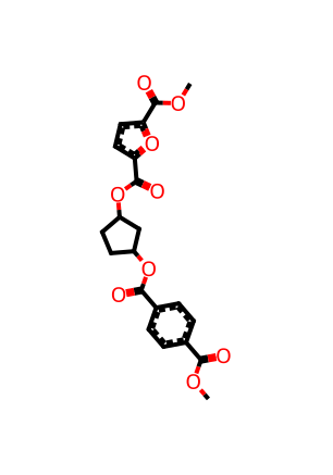 COC(=O)c1ccc(C(=O)OC2CCC(OC(=O)c3ccc(C(=O)OC)o3)C2)cc1